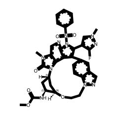 COC(=O)N[C@H]1C[C@H]2C[C@H]1OCCn1ncc3cc(ccc31)-c1c(-c3cn(C)nc3F)n(S(=O)(=O)c3ccccc3)c3ncc4c(c13)n2c(=O)n4C